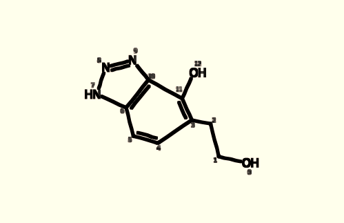 OCCc1ccc2[nH]nnc2c1O